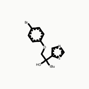 CC(C)(C)C(O)(COc1ccc(Br)cc1)c1cncs1